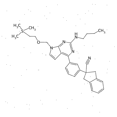 CCCCNc1nc(-c2cccc(C3(C#N)Cc4ccccc4C3)c2)c2ccn(COCCS(C)(C)C)c2n1